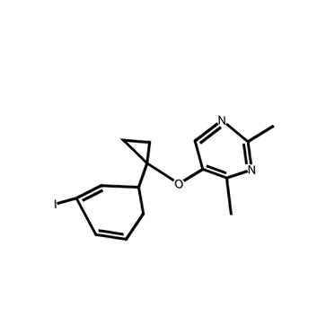 Cc1ncc(OC2(C3C=C(I)C=CC3)CC2)c(C)n1